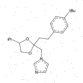 CC(C)C1COC(CCc2ccc(C(C)(C)C)cc2)(Cn2ccnc2)O1